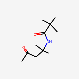 CC(=O)CC(C)(C)NC(=O)C(C)(C)C